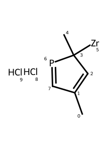 CC1=C[C](C)([Zr])P=C1.Cl.Cl